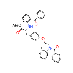 COC(=O)C(Cc1ccc(OCCN(C(=O)c2ccccc2)c2ccccc2C)cc1)Nc1ccccc1C(=O)c1ccccc1